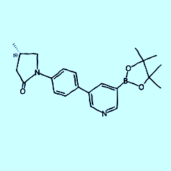 C[C@H]1CC(=O)N(c2ccc(-c3cncc(B4OC(C)(C)C(C)(C)O4)c3)cc2)C1